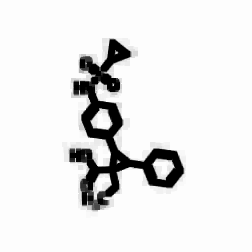 CCC1(C(=O)O)C(c2ccccc2)C1c1ccc(NS(=O)(=O)C2CC2)cc1